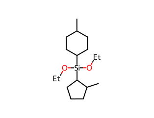 CCO[Si](OCC)(C1CCC(C)CC1)C1CCCC1C